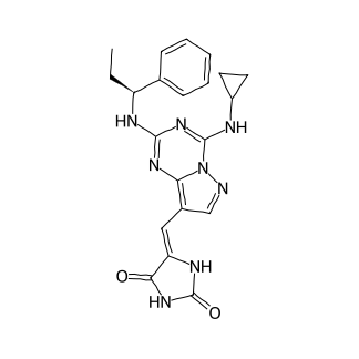 CC[C@H](Nc1nc(NC2CC2)n2ncc(/C=C3\NC(=O)NC3=O)c2n1)c1ccccc1